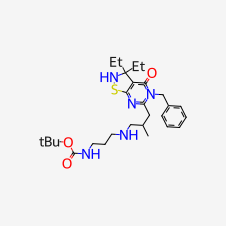 CCC1(CC)NSc2nc(CC(C)CNCCCNC(=O)OC(C)(C)C)n(Cc3ccccc3)c(=O)c21